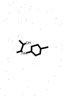 CC1CCC(NC(C)C(C)O)CC1